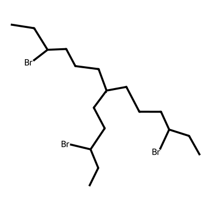 CCC(Br)CCC[C](CCCC(Br)CC)CCC(Br)CC